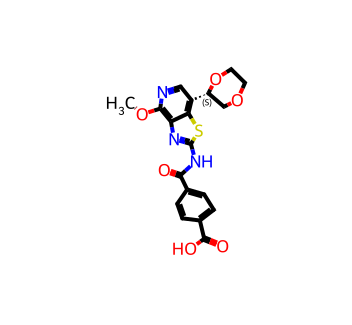 COc1ncc([C@H]2COCCO2)c2sc(NC(=O)c3ccc(C(=O)O)cc3)nc12